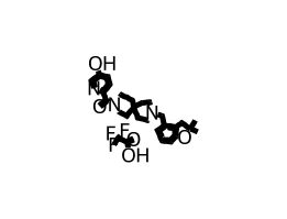 CC1(C)Cc2c(CN3CCC4(CC3)CCN(C(=O)c3ccc(O)cn3)CC4)cccc2O1.O=C(O)C(F)(F)F